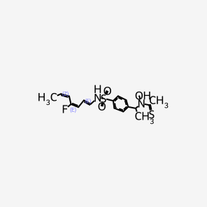 C\C=C/C(F)=C\C=C\NS(=O)(=O)c1ccc(C(C)N(O)C(C)=S)cc1